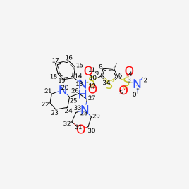 CN(C)S(=O)(=O)c1ccc(S(=O)(=O)Nc2ccccc2N2CCCCC2CCN2CCOCC2)s1